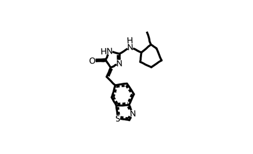 CC1CCCCC1NC1=N/C(=C\c2ccc3ncsc3c2)C(=O)N1